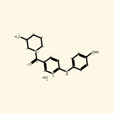 COc1ccc(Nc2ccc(C(=O)N3CCCC(C)C3)cn2)cc1.Cl